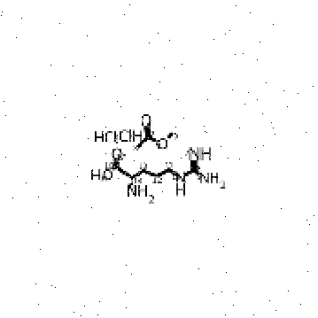 COC(C)=O.Cl.Cl.N=C(N)NCCC[C@H](N)C(=O)O